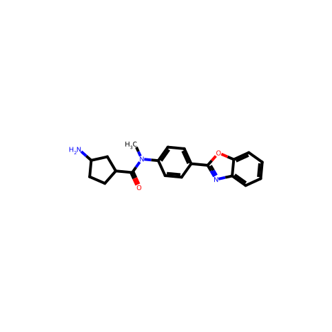 CN(C(=O)C1CCC(N)C1)c1ccc(-c2nc3ccccc3o2)cc1